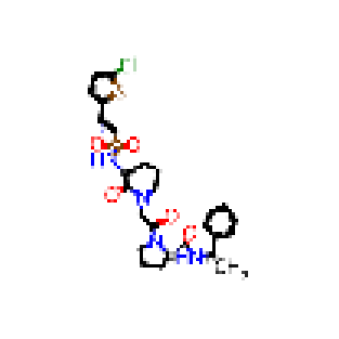 C[C@@H](NC(=O)[C@@H]1CCCN1C(=O)CN1CCC[C@H](NS(=O)(=O)/C=C/c2ccc(Cl)s2)C1=O)c1ccccc1